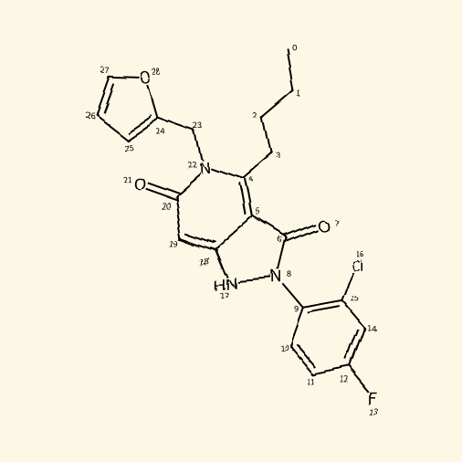 CCCCc1c2c(=O)n(-c3ccc(F)cc3Cl)[nH]c2cc(=O)n1Cc1ccco1